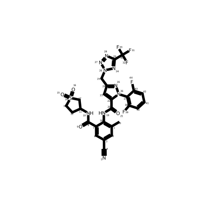 Cc1cc(C#N)cc(C(=O)NC2CCS(=O)(=O)C2)c1NC(=O)c1cc(Cn2nnc(C(F)(F)F)n2)nn1-c1c(F)cccc1F